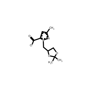 Cc1cc(C(=O)Cl)n(CC2COC(C)(C)O2)n1